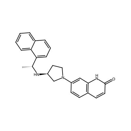 C[C@@H](N[C@H]1CCN(c2ccc3ccc(=O)[nH]c3c2)C1)c1cccc2ccccc12